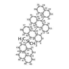 C[Si](C)(c1c2ccccc2c(-c2c3ccccc3c(-c3cccc4ccccc34)c3ccccc23)c2ccccc12)c1ccc2ccc3cccc4ccc1c2c34